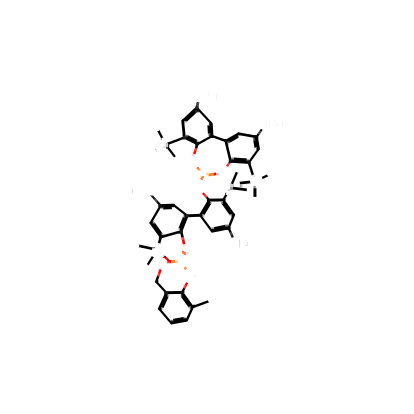 Cc1cccc2c1OP(Oc1c(-c3cc(C(C)(C)C)cc([Si](C)(C)C)c3Op3oc4c([Si](C)(C)C)cc(C(C)(C)C)cc4c4cc(C(C)(C)C)cc([Si](C)(C)C)c4o3)cc(C(C)(C)C)cc1[Si](C)(C)C)OC2